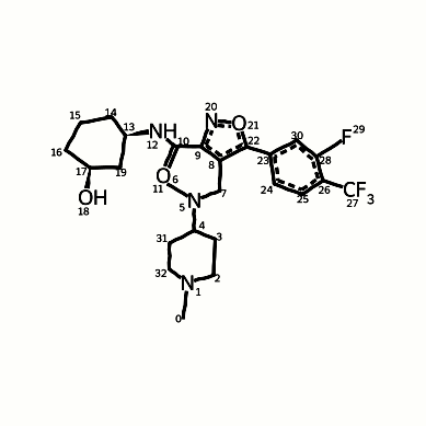 CN1CCC(N(C)Cc2c(C(=O)N[C@@H]3CCC[C@H](O)C3)noc2-c2ccc(C(F)(F)F)c(F)c2)CC1